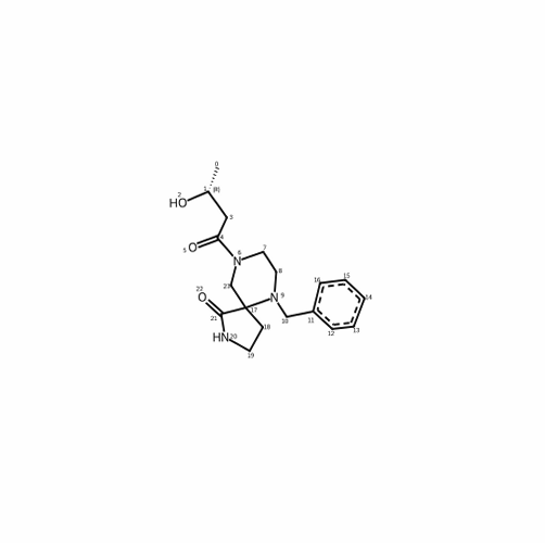 C[C@@H](O)CC(=O)N1CCN(Cc2ccccc2)C2(CCNC2=O)C1